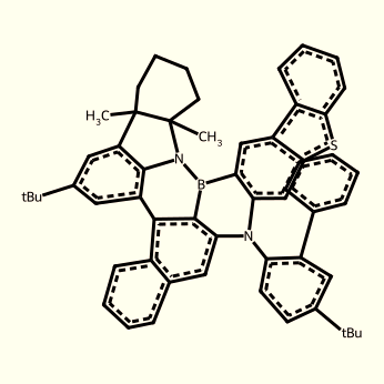 CC(C)(C)c1ccc(N2c3cc4sc5ccccc5c4cc3B3c4c2cc2ccccc2c4-c2cc(C(C)(C)C)cc4c2N3C2(C)CCCCC42C)c(-c2ccccc2)c1